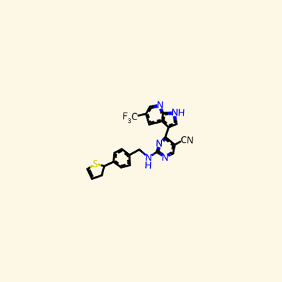 N#Cc1cnc(NCc2ccc(C3CC=CS3)cc2)nc1-c1c[nH]c2ncc(C(F)(F)F)cc12